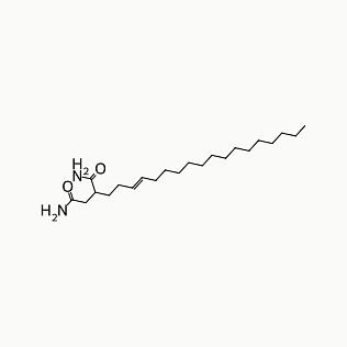 CCCCCCCCCCCCCCC=CCCC(CC(N)=O)C(N)=O